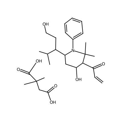 C=CC(=O)C1C(O)CC(C(CCO)C(C)C)N(c2ccccc2)C1(C)C.CC(C)(CC(=O)O)C(=O)O